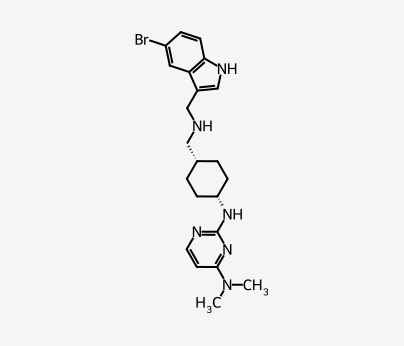 CN(C)c1ccnc(N[C@H]2CC[C@@H](CNCc3c[nH]c4ccc(Br)cc34)CC2)n1